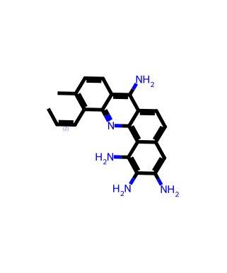 C/C=C\c1c(C)ccc2c(N)c3ccc4cc(N)c(N)c(N)c4c3nc12